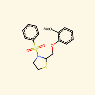 COc1ccccc1OCC1SCCN1S(=O)(=O)c1ccccc1